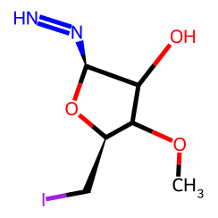 COC1C(O)[C@H](N=N)O[C@@H]1CI